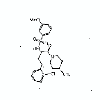 COc1cccc(S(=O)(=O)NC(CCc2ccccc2Cl)C(=O)N2CCC(C)CC2)c1